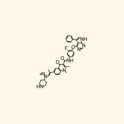 C=NN(/C=C(\C)c1ccc2c(c1)c(=O)c(C(=O)Nc1ccc(Oc3ncnc4[nH]cc(-c5ccccc5)c34)c(F)c1)c(C)n2C)C1CCNCC1